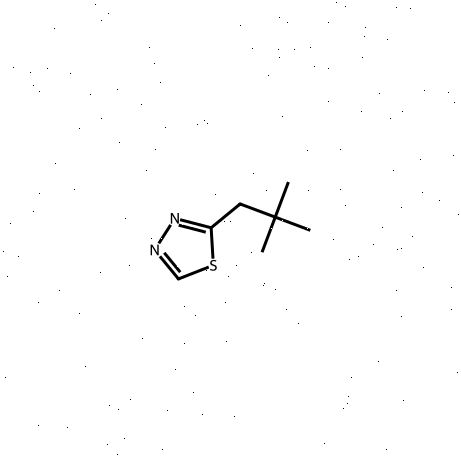 CC(C)(C)Cc1nncs1